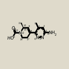 Cc1cc(N)nnc1C1=C[C@H](C)N(C(=O)O)CC1